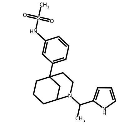 CC(c1ccc[nH]1)N1CCC2(c3cccc(NS(C)(=O)=O)c3)CCCC1C2